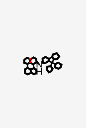 c1ccc(-c2cccc3cccc(-c4ccccc4Nc4ccc5c(c4)C(c4ccccc4)(c4ccccc4)c4ccccc4-5)c23)cc1